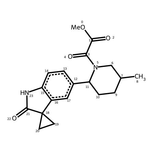 COC(=O)C(=O)N1CC(C)CCC1c1ccc2c(c1)C1(CC1)C(=O)N2